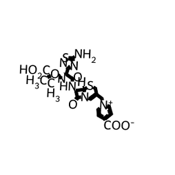 CC(C)(ON=C(C(=O)NC1C(=O)N2C=C(C[n+]3ccc(C(=O)[O-])cc3)CS[C@@H]12)c1nsc(N)n1)C(=O)O